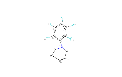 Fc1c(F)c(F)c(N2CCCCC2)c(F)c1F